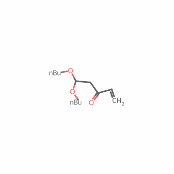 C=CC(=O)CC(OCCCC)OCCCC